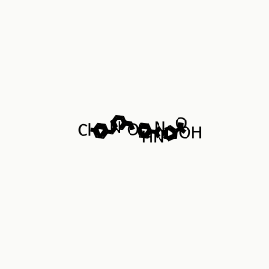 O=C(O)c1ccc2[nH]c(-c3ccc(OCC4CCCN(Cc5ccc(Cl)cc5)C4)cc3)nc2c1